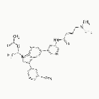 CC(=O)OC(C)n1cc(-c2cccc(C#N)c2)c2cc(-c3cncc(NC(=O)C=CCN(C)C)c3)cnc21